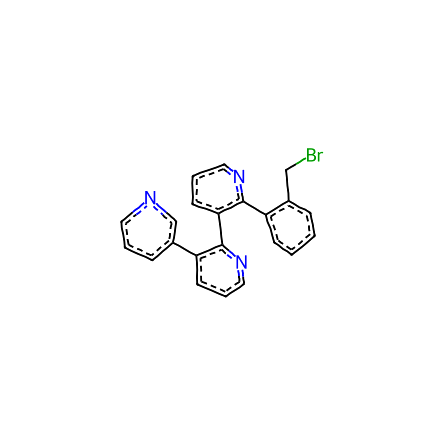 BrCc1ccccc1-c1ncccc1-c1ncccc1-c1cccnc1